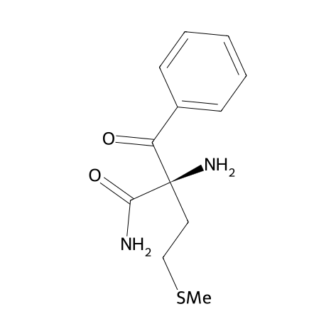 CSCC[C@](N)(C(N)=O)C(=O)c1ccccc1